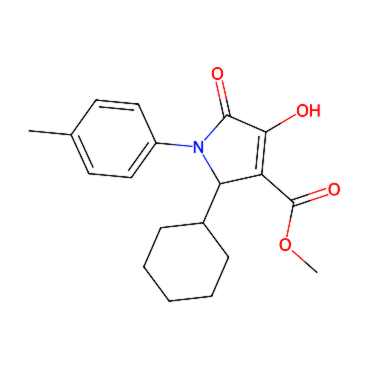 COC(=O)C1=C(O)C(=O)N(c2ccc(C)cc2)C1C1CCCCC1